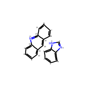 c1ccc2[nH]cnc2c1.c1ccc2nc3ccccc3cc2c1